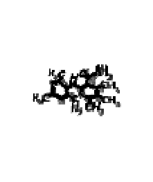 Cc1cc(C)c(Nc2nc(C)c(C)c(C)c2C(N)=O)c(C)c1